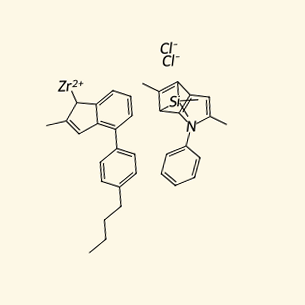 CC1=C2c3cc(C)n(-c4ccccc4)c3C1[Si]2(C)C.CCCCc1ccc(-c2cccc3c2C=C(C)[CH]3[Zr+2])cc1.[Cl-].[Cl-]